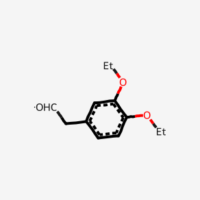 CCOc1ccc(C[C]=O)cc1OCC